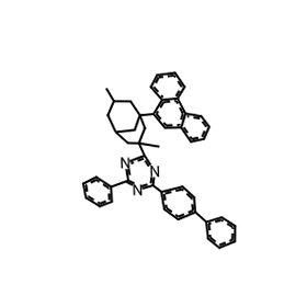 CC1CC2CC(C)(c3nc(-c4ccccc4)nc(-c4ccc(-c5ccccc5)cc4)n3)CC(c3cc4ccccc4c4ccccc34)(C1)C2